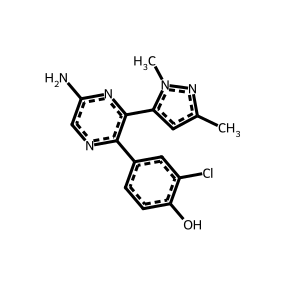 Cc1cc(-c2nc(N)cnc2-c2ccc(O)c(Cl)c2)n(C)n1